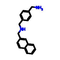 NCc1ccc(CNCc2ccc3ccccc3c2)cc1